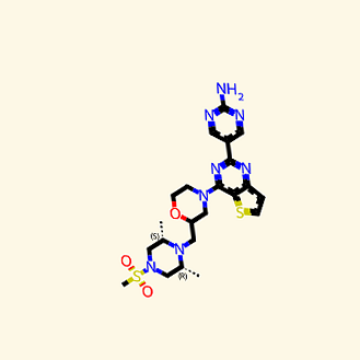 C[C@@H]1CN(S(C)(=O)=O)C[C@H](C)N1CC1CN(c2nc(-c3cnc(N)nc3)nc3ccsc23)CCO1